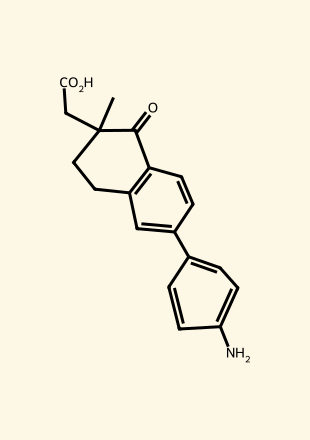 CC1(CC(=O)O)CCc2cc(-c3ccc(N)cc3)ccc2C1=O